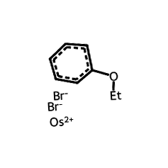 CCOc1ccccc1.[Br-].[Br-].[Os+2]